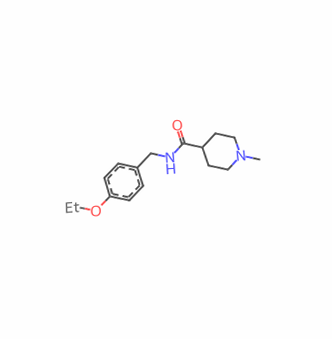 CCOc1ccc(CNC(=O)C2CCN(C)CC2)cc1